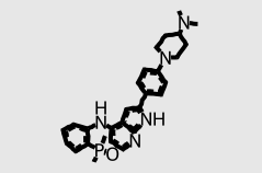 CN(C)C1CCN(c2ccc(-c3cc4c(Nc5ccccc5P(C)(C)=O)ccnc4[nH]3)cc2)CC1